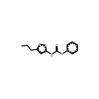 CCCc1cc(NC(=O)Oc2ccccc2)sn1